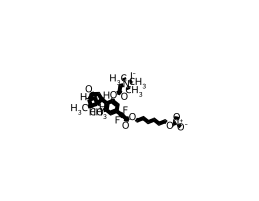 CC1(C)[C@@H]2C[C@@H]1[C@@H](c1c(O)cc(C(F)(F)C(=O)OCCCCCCO[N+](=O)[O-])cc1OC(=O)C[N+](C)(C)C)CC2=O.[I-]